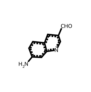 Nc1ccc2cc(C=O)cnc2c1